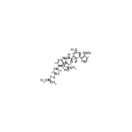 COc1ccncc1-c1nc(C)cc(C(=O)Nc2nc3ccc(N4CCN(CCN(C)C)CC4)cc3n2CC(C)(C)O)c1F